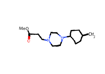 COC(=O)CCN1CCN(C2CCC(C)CC2)CC1